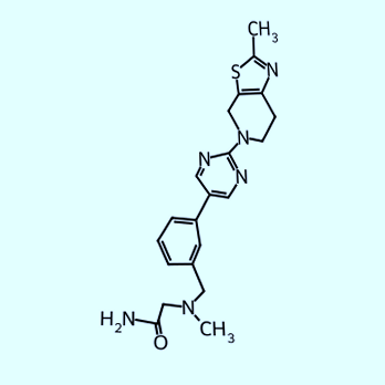 Cc1nc2c(s1)CN(c1ncc(-c3cccc(CN(C)CC(N)=O)c3)cn1)CC2